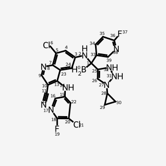 BC(Nc1cc(Cl)c2ncc(C#N)c(Nc3cnc(F)c(Cl)c3)c2c1)(C1=CN(C2CC2)NN1)c1ccc(F)nc1